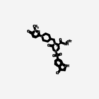 CCCNC(=O)[C@H]1CN(S(=O)(=O)c2ccc3c(Cl)c[nH]c3c2)CC(=O)N1CC1CCN(c2ccc(=O)n(C)n2)CC1